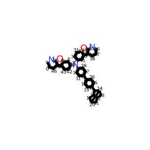 c1cnc2oc3cc(N(c4ccc(-c5ccc(C6C7CC8CC7CC86)cc5)cc4)c4ccc5oc6ncccc6c5c4)ccc3c2c1